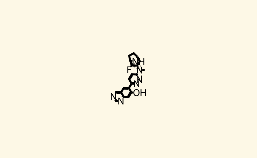 CN(c1ccc(-c2cc3cncnc3cc2O)nn1)[C@H]1CC2CCC(N2)[C@H]1F